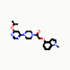 CC(C)Oc1cc(N2CCN(C(=O)COc3cccc4c3ccn4C)CC2)ncn1